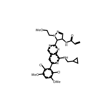 C=CC(=O)NC1C=NN(CCOC)C1c1ncc2cc(-c3c(Cl)c(OC)cc(OC)c3Cl)nc(NCC3CC3)c2n1